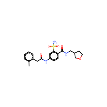 Cc1ccccc1CC(=O)Nc1ccc(C(=O)NCC2CCOC2)c(S(N)(=O)=O)c1